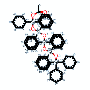 CC(=O)O[Si](O[Si](O[Si](O[Si](O[Si](c1ccccc1)(c1ccccc1)c1ccccc1)(c1ccccc1)c1ccccc1)(c1ccccc1)c1ccccc1)(c1ccccc1)c1ccccc1)(c1ccccc1)c1ccccc1